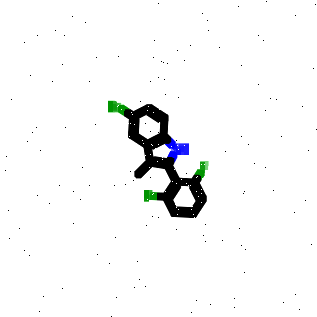 Cc1c(-c2c(F)cccc2F)[nH]c2ccc(Br)cc12